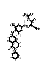 N#CC(=NNc1cc(Cl)c(Oc2ccc3c(c2)CCN(c2ccccn2)C3=O)c(Cl)c1)C(=O)OC(N)=O